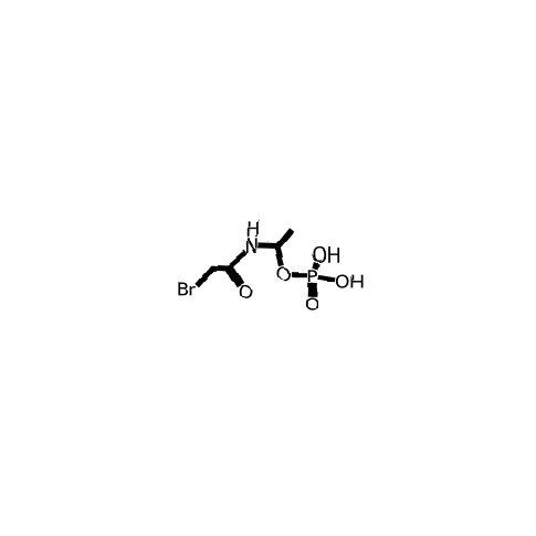 CC(NC(=O)CBr)OP(=O)(O)O